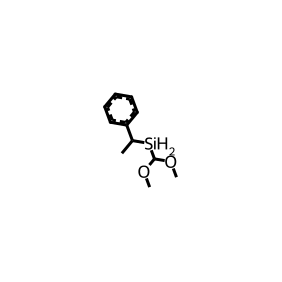 COC(OC)[SiH2]C(C)c1ccccc1